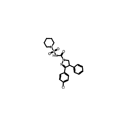 O=C(NS(=O)(=O)N1CCCCC1)N1CC(c2ccccc2)C(c2ccc(Cl)cc2)=N1